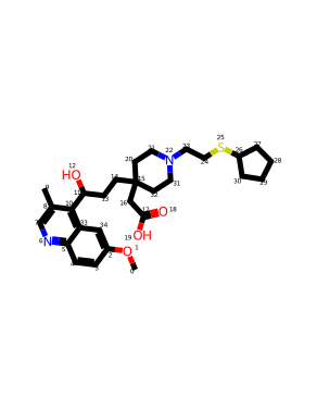 COc1ccc2ncc(C)c(C(O)CCC3(CC(=O)O)CCN(CCSC4CCCC4)CC3)c2c1